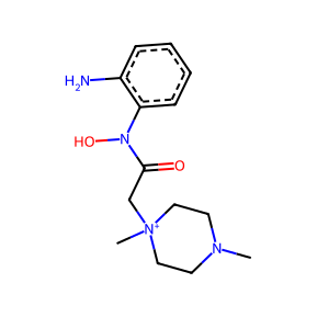 CN1CC[N+](C)(CC(=O)N(O)c2ccccc2N)CC1